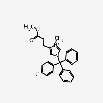 COC(=O)CCc1cn(C(c2ccccc2)(c2ccccc2)c2ccccc2)c[n+]1C.[I-]